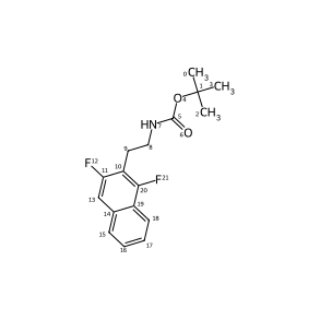 CC(C)(C)OC(=O)NCCc1c(F)cc2ccccc2c1F